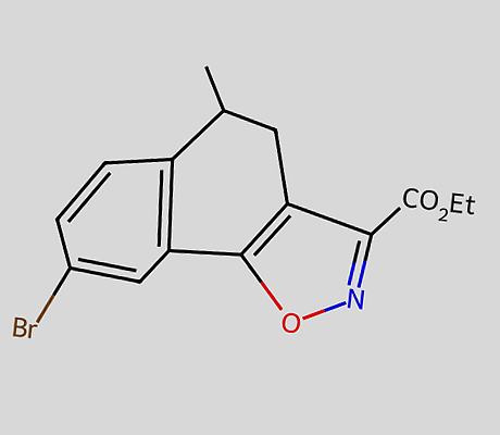 CCOC(=O)c1noc2c1CC(C)c1ccc(Br)cc1-2